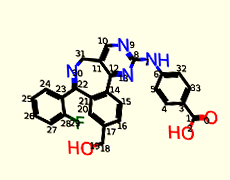 O=C(O)c1ccc(Nc2ncc3c(n2)-c2ccc(CO)cc2C(c2ccccc2F)=NC3)cc1